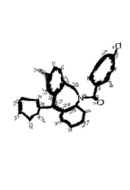 O=C(c1ccc(Cl)cc1)N1Cc2ccccc2C(C2=CC=CCC2)C2=C1CCC=C2